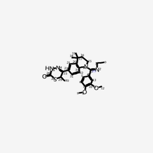 CC/N=C(/c1ccc(OC)c(OC)c1)N1CCC(C)(C)c2cc(C3=NNC(=O)SC3C)ccc21